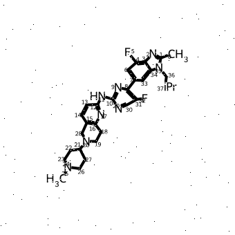 Cc1nc2c(F)cc(-c3nc(Nc4ccc5c(n4)CCN(C4CCN(C)CC4)C5)ncc3F)cc2n1CC(C)C